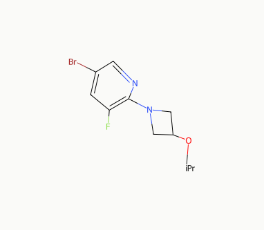 CC(C)OC1CN(c2ncc(Br)cc2F)C1